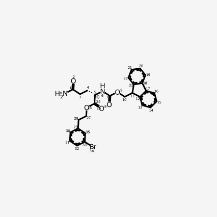 NC(=O)CC[C@H](NC(=O)OCC1c2ccccc2-c2ccccc21)C(=O)OCCc1cccc(Br)c1